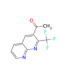 CC(=O)c1cc2cccnc2nc1C(F)(F)F